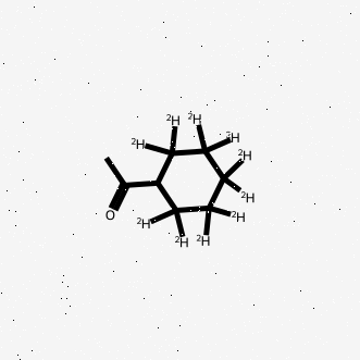 [2H]C1([2H])C(C(C)=O)C([2H])([2H])C([2H])([2H])C([2H])([2H])C1([2H])[2H]